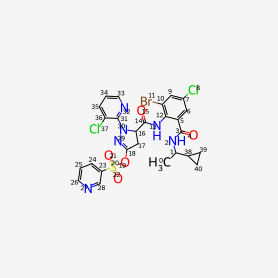 CC(NC(=O)c1cc(Cl)cc(Br)c1NC(=O)C1CC(OS(=O)(=O)c2cccnc2)=NN1c1ncccc1Cl)C1CC1